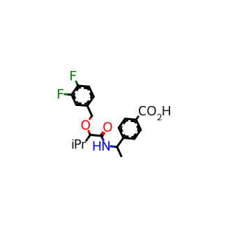 CC(NC(=O)C(OCc1ccc(F)c(F)c1)C(C)C)c1ccc(C(=O)O)cc1